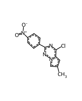 Cc1cc2c(Cl)nc(-c3ccc([N+](=O)[O-])cc3)nn2c1